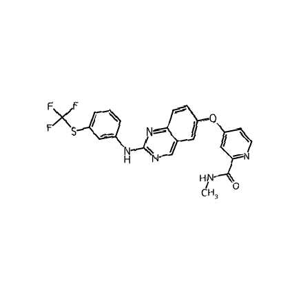 CNC(=O)c1cc(Oc2ccc3nc(Nc4cccc(SC(F)(F)F)c4)ncc3c2)ccn1